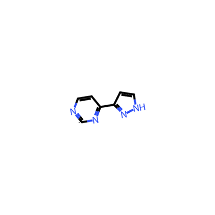 [c]1nccc(-c2cc[nH]n2)n1